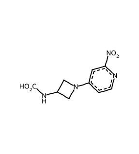 O=C(O)NC1CN(c2ccnc([N+](=O)[O-])c2)C1